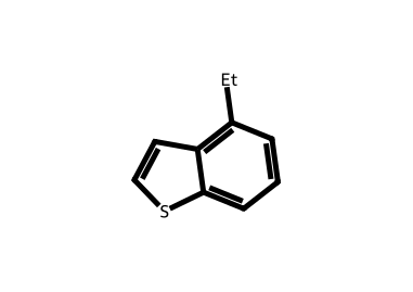 [CH2]Cc1cccc2sccc12